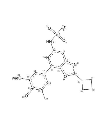 CCS(=O)(=O)Nc1cc2nc(C3CCC3)oc2c(-c2cc(OC)c(=O)n(C)c2)n1